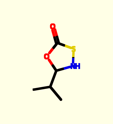 CC(C)C1NSC(=O)O1